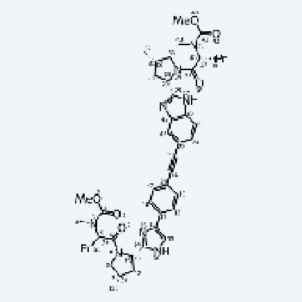 COC(=O)N(C)[C@@H](C(=O)N1C[C@@H](C)C[C@H]1c1nc(-c2ccc(C#Cc3ccc4[nH]c([C@@H]5C[C@H](C)CN5C(=O)[C@@H](C(C)C)N(C)C(=O)OC)nc4c3)cc2)c[nH]1)C(C)C